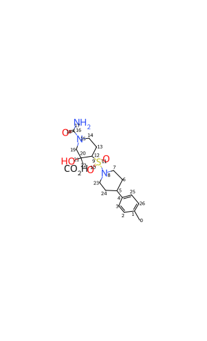 Cc1ccc(C2CCN(S(=O)(=O)C3CCN(C(N)=O)CC3(O)C(=O)O)CC2)cc1